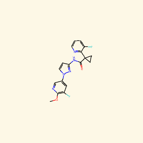 COc1ncc(-n2ccc(NC(=O)C3(c4ncccc4F)CC3)n2)cc1F